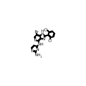 Nc1nccc(Nc2ncc(Br)c3[nH]c(-c4c(Cl)cccc4Cl)nc23)n1